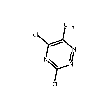 Cc1nnc(Cl)nc1Cl